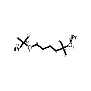 CC(C)OC(C)(C)CCCCOC(C)(C)C(C)C